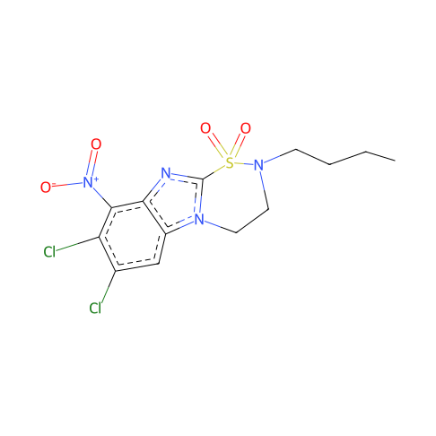 CCCCN1CCn2c(nc3c([N+](=O)[O-])c(Cl)c(Cl)cc32)S1(=O)=O